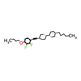 CCCCC[C@H]1CC[C@H]([C@H]2CC[C@H](C#Cc3ccc(OCCCC)c(F)c3F)CC2)CC1